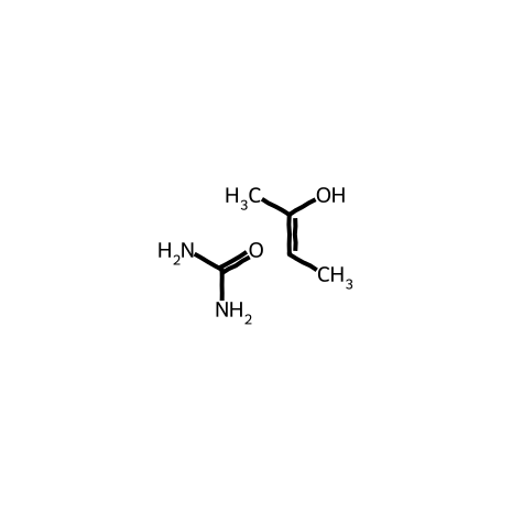 CC=C(C)O.NC(N)=O